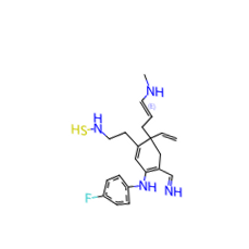 C=CC1(C/C=C/NC)CC(C=N)=C(Nc2ccc(F)cc2)C=C1CCNS